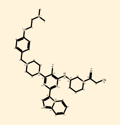 CN(C)CCOc1ccc(CN2CCN(c3nc(-c4cnc5ccccn45)nc(N[C@@H]4CCCN(C(=O)CC#N)C4)c3F)CC2)cc1